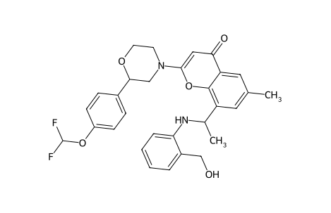 Cc1cc(C(C)Nc2ccccc2CO)c2oc(N3CCOC(c4ccc(OC(F)F)cc4)C3)cc(=O)c2c1